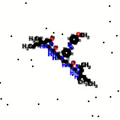 C=C1C=C(C(CC)CCCC)NC(NC(=O)NCCN(CCNC(=O)Nc2nc(=O)cc(C(CC)CCCC)[nH]2)c2ccc(/N=N/c3ccc(OC)cc3)cc2)=N1